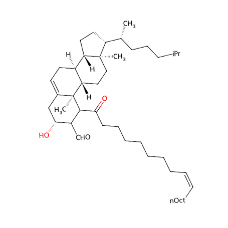 CCCCCCCC/C=C\CCCCCCCC(=O)C1C(C=O)[C@H](O)CC2=CC[C@H]3[C@@H]4CC[C@H]([C@H](C)CCCC(C)C)[C@@]4(C)CC[C@@H]3[C@]21C